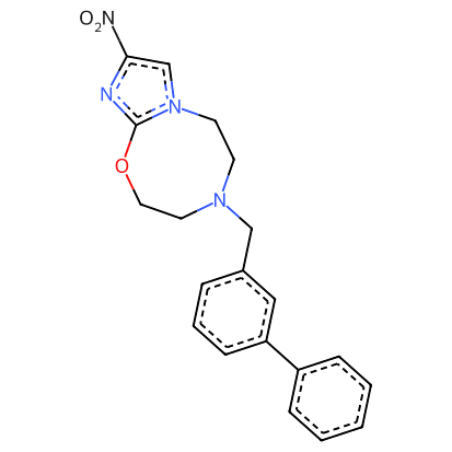 O=[N+]([O-])c1cn2c(n1)OCCN(Cc1cccc(-c3ccccc3)c1)CC2